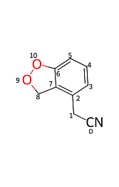 N#CCc1cccc2c1COO2